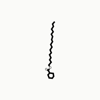 CCCCCCCCCCCCCCCCCCOC(=O)C1CCCCC1